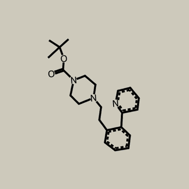 CC(C)(C)OC(=O)N1CCN(CCc2ccccc2-c2ccccn2)CC1